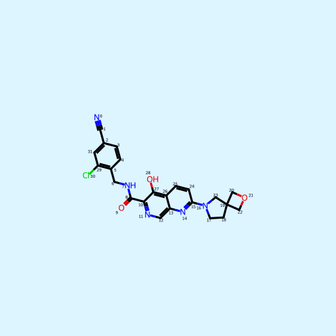 N#Cc1ccc(CNC(=O)c2ncc3nc(N4CCC5(COC5)C4)ccc3c2O)c(Cl)c1